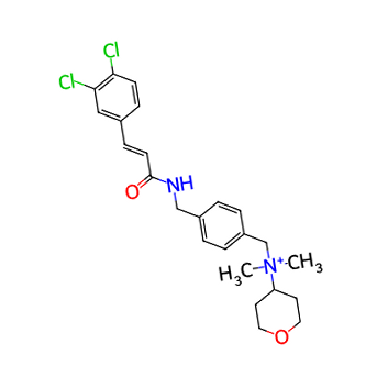 C[N+](C)(Cc1ccc(CNC(=O)C=Cc2ccc(Cl)c(Cl)c2)cc1)C1CCOCC1